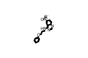 O=[N+]([O-])c1ccc2ncnc(NCCCOc3ccccc3)c2c1